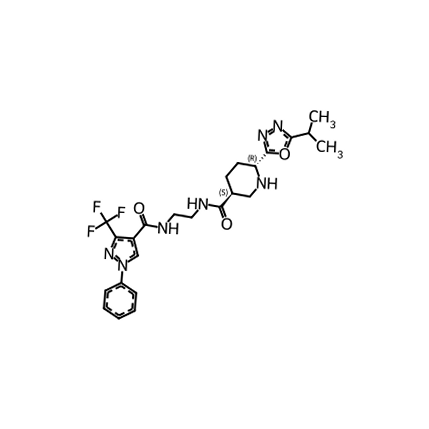 CC(C)c1nnc([C@H]2CC[C@H](C(=O)NCCNC(=O)c3cn(-c4ccccc4)nc3C(F)(F)F)CN2)o1